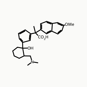 COc1ccc2cc(C(C)(C(=O)O)c3cccc(C4(O)CCCCC4CN(C)C)c3)ccc2c1